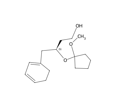 COC1(O[C@H](CCO)CC2=CC=CCC2)CCCC1